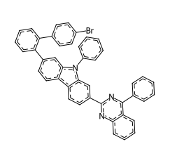 Brc1ccc(-c2ccccc2-c2ccc3c4ccc(-c5nc(-c6ccccc6)c6ccccc6n5)cc4n(-c4ccccc4)c3c2)cc1